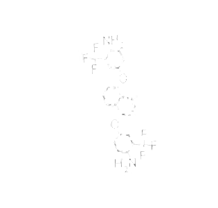 Nc1ccc(Oc2cccc3c(Oc4ccc(N)c(C(F)(F)F)c4)cccc23)cc1C(F)(F)F